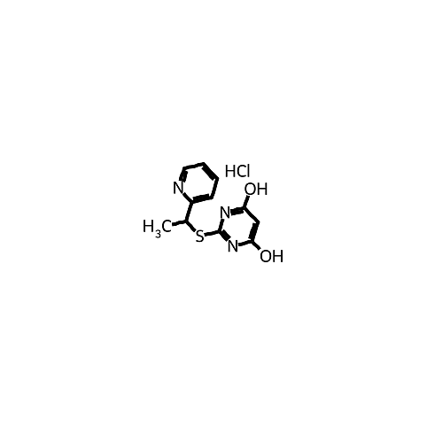 CC(Sc1nc(O)cc(O)n1)c1ccccn1.Cl